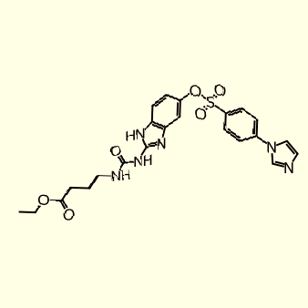 CCOC(=O)CCCNC(=O)Nc1nc2cc(OS(=O)(=O)c3ccc(-n4ccnc4)cc3)ccc2[nH]1